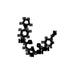 N#Cc1ccc(NC(=O)Nc2ncc(CC(=O)Nc3ccc(N4CCCC4)cc3)s2)cc1